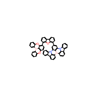 c1ccc2c(c1)Oc1ccc(-c3cccc4c3oc3c(-c5cc6c7c(c5)-n5c8ccccc8c8cccc(c85)B7c5cccc7c8ccccc8n-6c57)cccc34)c3c1B2c1ccccc1O3